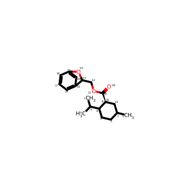 CC1CCC(C(C)C)[C@@H](C(=O)OCC2Oc3cccc2c3)C1